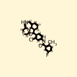 Cc1ccc(F)cc1C(=O)Nc1ccc(C(=O)C2CC=CC3=CNC=C4CSCCN4C32)c(Cl)c1